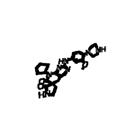 COc1cc(Nc2ncc3c(n2)N(C2CCCC2)C(=O)[C@]2(CCNC2=O)C3)ccc1N1CCNCC1